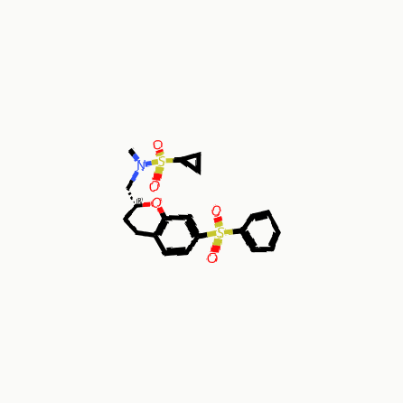 CN(C[C@H]1CCc2ccc(S(=O)(=O)c3ccccc3)cc2O1)S(=O)(=O)C1CC1